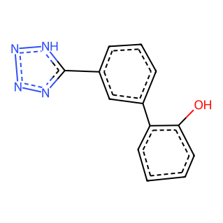 Oc1ccccc1-c1cccc(-c2nnn[nH]2)c1